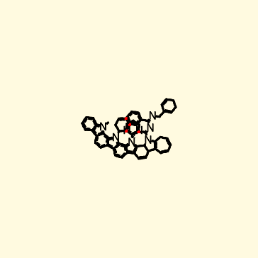 Cn1c2ccccc2c2ccc3c4ccc5c6c(n(-c7ccccc7)c5c4n(C4C=CC=CC4)c3c21)C1C(C=C6)C2=C(CC=CC=C2)N1/C(N)=N/C(=N\CC1=CCCC=C1)c1ccccc1